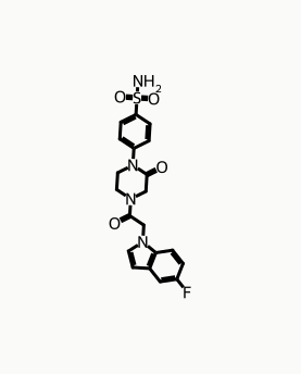 NS(=O)(=O)c1ccc(N2CCN(C(=O)Cn3ccc4cc(F)ccc43)CC2=O)cc1